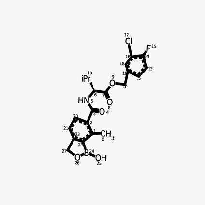 Cc1c(C(=O)N[C@H](C(=O)OCc2ccc(F)c(Cl)c2)C(C)C)ccc2c1B(O)OC2